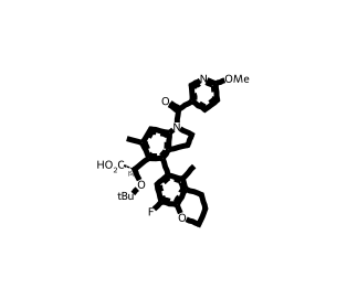 COc1ccc(C(=O)N2CCc3c2cc(C)c([C@H](OC(C)(C)C)C(=O)O)c3-c2cc(F)c3c(c2C)CCCO3)cn1